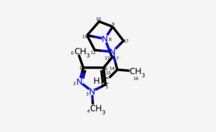 Cc1nn(C)cc1CN1C2CC1CN(C(C)C)C2